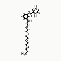 CCCOCCOCCOCCOCCNc1cccc2c1OC(C1NCONO1)O2